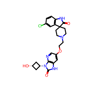 O=C1Nc2ccc(Cl)cc2C12CCN(CCOc1cnc3c(c1)[nH]c(=O)n3[C@H]1C[C@@H](O)C1)CC2